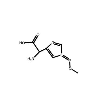 CON=S1C=NC(C(N)C(=O)O)=C1